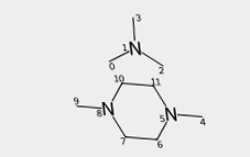 CN(C)C.CN1CCN(C)CC1